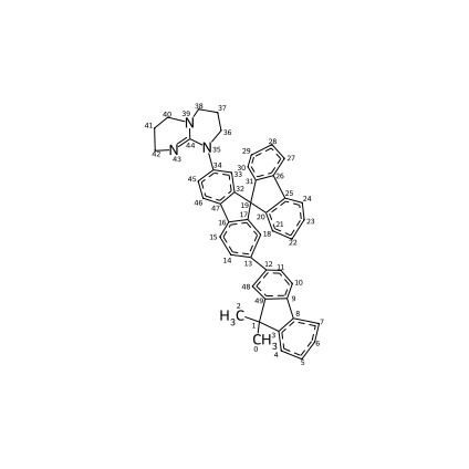 CC1(C)c2ccccc2-c2ccc(-c3ccc4c(c3)C3(c5ccccc5-c5ccccc53)c3cc(N5CCCN6CCCN=C65)ccc3-4)cc21